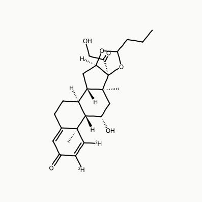 [2H]C1=C([2H])[C@@]2(C)C(=CC1=O)CC[C@@H]1[C@@H]2[C@@H](O)C[C@@]2(C)[C@H]1C[C@H]1OC(CCC)O[C@]12C(=O)CO